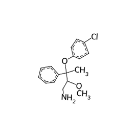 COC(CN)C(C)(Oc1ccc(Cl)cc1)c1ccccc1